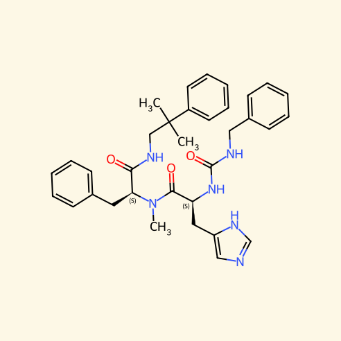 CN(C(=O)[C@H](Cc1cnc[nH]1)NC(=O)NCc1ccccc1)[C@@H](Cc1ccccc1)C(=O)NCC(C)(C)c1ccccc1